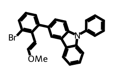 COC=Cc1c(Br)cccc1-c1ccc2c(c1)c1ccccc1n2-c1ccccc1